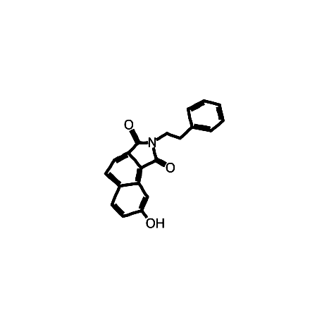 O=C1c2ccc3ccc(O)cc3c2C(=O)N1CCc1ccccc1